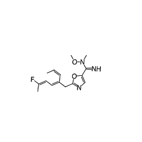 C\C=C/C(=C\C=C(/C)F)Cc1ncc(C(=N)N(C)OC)o1